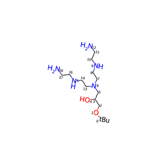 CC(C)(C)OCC(O)CN(CCNCCN)CCNCCN